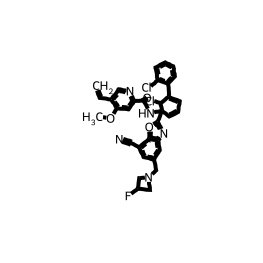 C=Cc1cnc(C(=O)NC2(c3nc4cc(CN5CC(F)C5)cc(C#N)c4o3)C=CC=C(c3ccccc3Cl)C2Cl)cc1OC